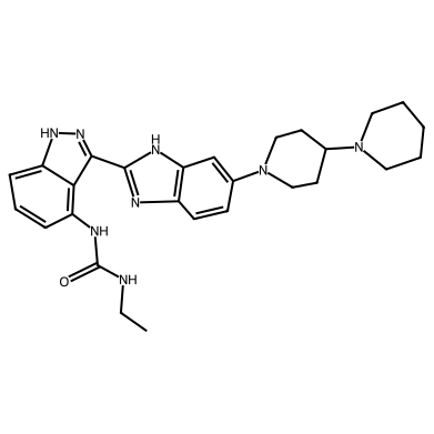 CCNC(=O)Nc1cccc2[nH]nc(-c3nc4ccc(N5CCC(N6CCCCC6)CC5)cc4[nH]3)c12